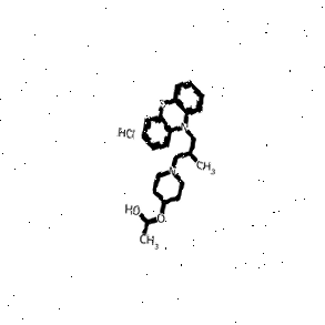 CC(CN1CCC(OC(C)O)CC1)CN1c2ccccc2Sc2ccccc21.Cl